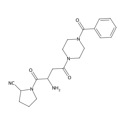 N#CC1CCCN1C(=O)C(N)CC(=O)N1CCN(C(=O)c2ccccc2)CC1